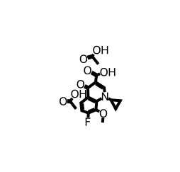 CC(=O)O.CC(=O)O.COc1c(F)ccc2c(=O)c(C(=O)O)cn(C3CC3)c12